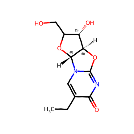 CCc1cn2c(nc1=O)O[C@H]1[C@H]2OC(CO)[C@@H]1O